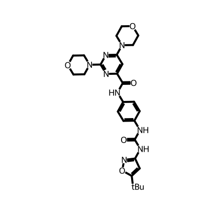 CC(C)(C)c1cc(NC(=O)Nc2ccc(NC(=O)c3cc(N4CCOCC4)nc(N4CCOCC4)n3)cc2)no1